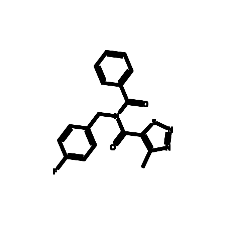 Cc1nnsc1C(=O)N(Cc1ccc(F)cc1)C(=O)c1ccccc1